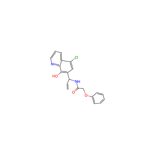 C=CC(NC(=O)COc1ccccc1)c1cc(Cl)c2cccnc2c1O